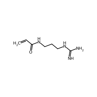 C=CC(=O)NCCCNC(=N)N